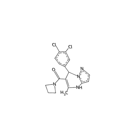 CC1=C(C(=O)N2CCC2)C(c2ccc(Cl)c(Cl)c2)n2nccc2N1